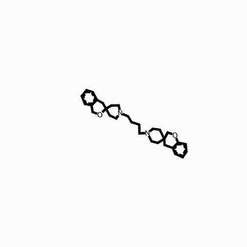 c1ccc2c(c1)COC1(CCN(CCCCN3CCC4(CC3)COc3ccccc3C4)CC1)C2